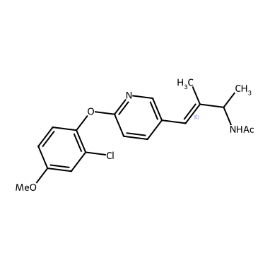 COc1ccc(Oc2ccc(/C=C(\C)C(C)NC(C)=O)cn2)c(Cl)c1